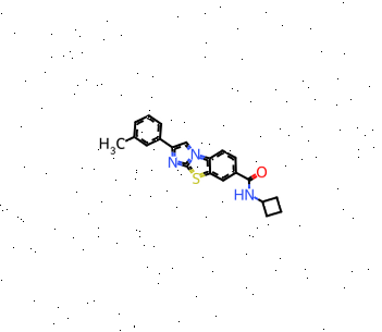 Cc1cccc(-c2cn3c(n2)sc2cc(C(=O)NC4CCC4)ccc23)c1